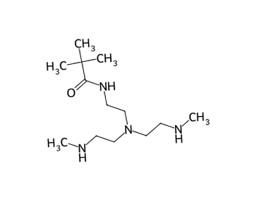 CNCCN(CCNC)CCNC(=O)C(C)(C)C